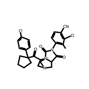 Cc1c(N2C(=O)C3CN4CC(C(=O)C5(c6ccc(Cl)cc6)CCCC5)[N+]3(C4)C2=O)ccc(C#N)c1Cl